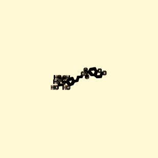 O=c1ccc2cc(S(=O)(=O)OCCCc3ccc(N4CC(O)NS4(O)O)c(O)c3)ccc2o1